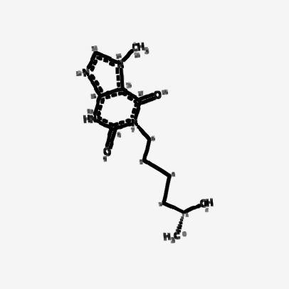 C[C@@H](O)CCCCn1c(=O)[nH]c2ncn(C)c2c1=O